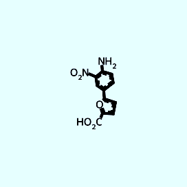 Nc1ccc(-c2ccc(C(=O)O)o2)cc1[N+](=O)[O-]